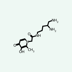 Cc1c(O)c(=O)ccn1CC(=O)NCCCC(N)CN